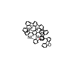 N#Cc1c(-c2ccccc2)c(C#N)c(-n2c3c(ccc4c5cccc(-c6ccccc6)c5sc43)c3ccc4c5cccc(-c6ccccc6)c5sc4c32)c(-c2ccccc2)c1-n1c2ccccc2c2cc(-c3cccc4oc5ccccc5c34)ccc21